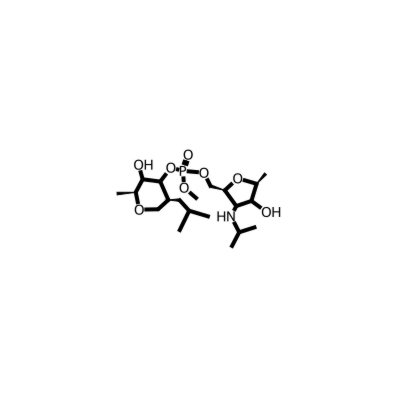 COP(=O)(OC[C@H]1O[C@@H](C)C(O)C1NC(C)C)OC1C(O)[C@H](C)OC[C@@H]1CC(C)C